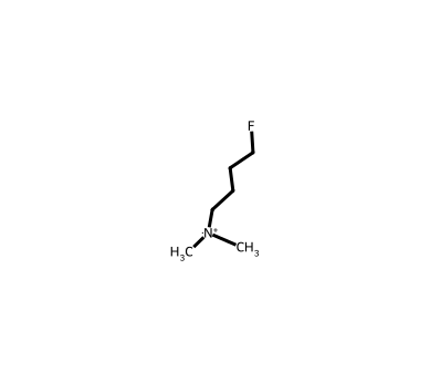 C[N+](C)CCCCF